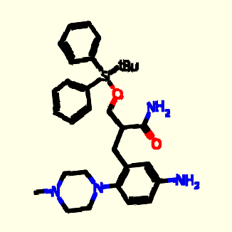 CN1CCN(c2ccc(N)cc2CC(CO[Si](c2ccccc2)(c2ccccc2)C(C)(C)C)C(N)=O)CC1